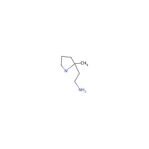 CC1(CCN)CCC[N]1